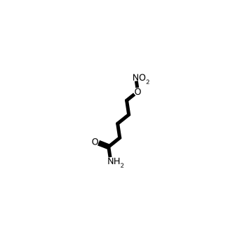 NC(=O)CCCCO[N+](=O)[O-]